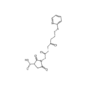 O=C(CCSSc1ccccn1)CCC(=O)CN1C(=O)CC(S(=O)O)C1=O